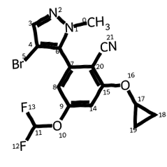 Cn1ncc(Br)c1-c1cc(OC(F)F)cc(OC2CC2)c1C#N